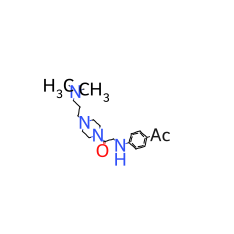 CC(=O)c1ccc(NCC(=O)N2CCN(CCCN(C)C)CC2)cc1